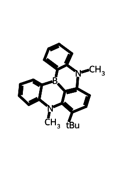 CN1c2ccccc2B2c3ccccc3N(C)c3c(C(C)(C)C)ccc1c32